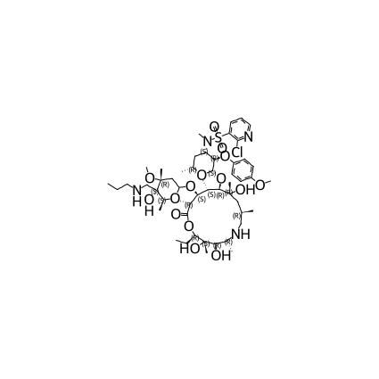 CCCNC[C@]1(O)[C@H](C)OC(O[C@H]2[C@H](C)[C@@H](O[C@@H]3O[C@H](C)C[C@H](N(C)S(=O)(=O)c4cccnc4Cl)[C@H]3Oc3ccc(OC)cc3)[C@](C)(O)C[C@@H](C)CN[C@H](C)[C@@H](O)[C@](C)(O)[C@@H](CC)OC(=O)[C@@H]2C)C[C@@]1(C)OC